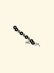 Cc1ccc2c(O)c(N=Nc3ccc(N=Nc4ccc(N=Nc5ccc6ccccc6c5)cc4)cc3)ccc2c1